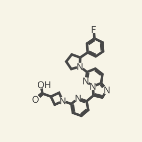 O=C(O)C1CN(c2cccc(-c3cnc4ccc(N5CCCC5c5cccc(F)c5)nn34)n2)C1